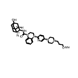 COCCCN1CCN(c2ccc(N3CCN(C(=O)NC4[C@@H]5CC6C[C@H]4CC(O)(C6)C5)c4ccccc43)nc2)CC1